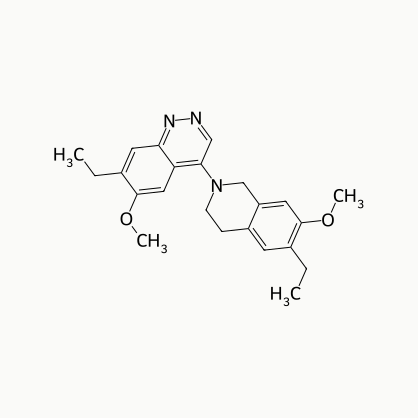 CCc1cc2c(cc1OC)CN(c1cnnc3cc(CC)c(OC)cc13)CC2